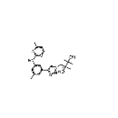 Cc1cc(Nc2nccc(C)n2)cc(-c2cn(C[C@@](C)(O)C(C)(C)O)nn2)c1